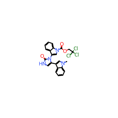 Cn1cc(-c2c[nH]c(=O)n2-c2cn(C(=O)OCC(Cl)(Cl)Cl)c3ccccc23)c2ccccc21